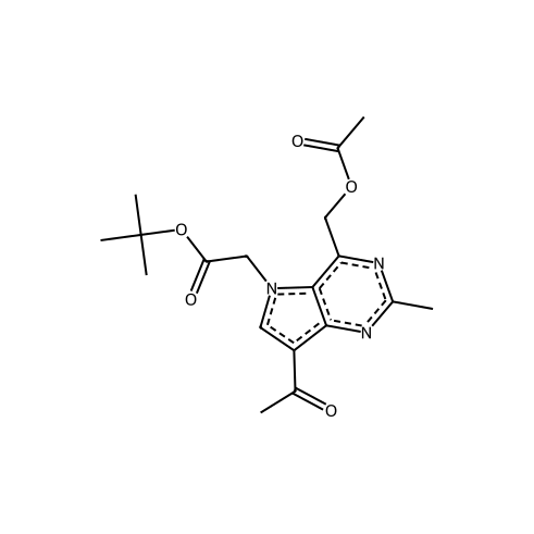 CC(=O)OCc1nc(C)nc2c(C(C)=O)cn(CC(=O)OC(C)(C)C)c12